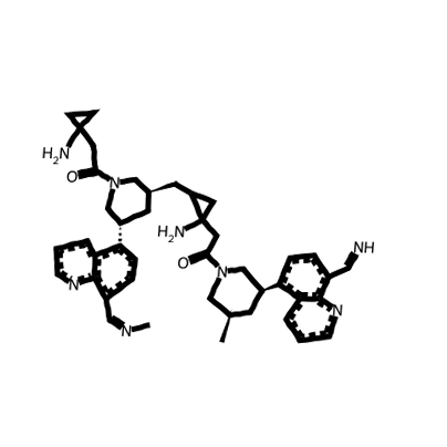 C/N=C\c1ccc([C@H]2C[C@H](CC3CC3(N)CC(=O)N3C[C@H](C)C[C@H](c4ccc(C=N)c5ncccc45)C3)CN(C(=O)CC3(N)CC3)C2)c2cccnc12